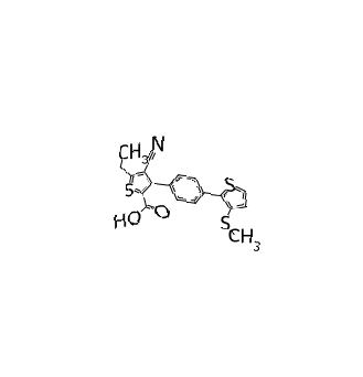 CCc1sc(C(=O)O)c(-c2ccc(-c3sccc3SC)cc2)c1C#N